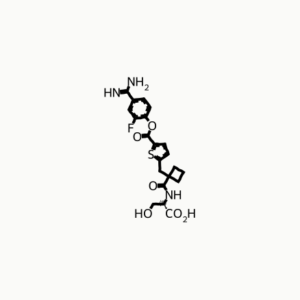 N=C(N)c1ccc(OC(=O)c2ccc(CC3(C(=O)N[C@@H](CO)C(=O)O)CCC3)s2)c(F)c1